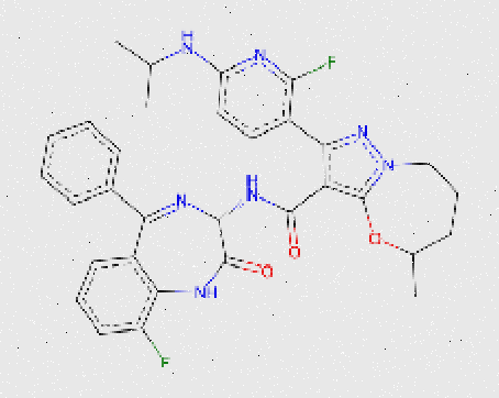 CC(C)Nc1ccc(-c2nn3c(c2C(=O)N[C@H]2N=C(c4ccccc4)c4cccc(F)c4NC2=O)OC(C)CCC3)c(F)n1